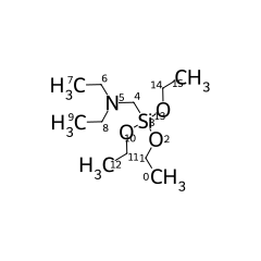 CCO[Si](CN(CC)CC)(OCC)OCC